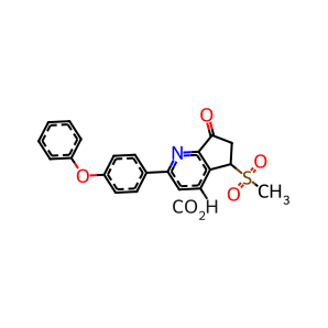 CS(=O)(=O)C1CC(=O)c2nc(-c3ccc(Oc4ccccc4)cc3)cc(C(=O)O)c21